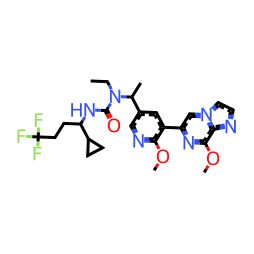 CCN(C(=O)NC(CCC(F)(F)F)C1CC1)C(C)c1cnc(OC)c(-c2cn3ccnc3c(OC)n2)c1